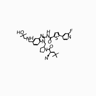 CC(C)(C)C=C(C#N)C(=O)N1CCCC1Cn1c(NC(=O)c2ccc(-c3ccnc(F)c3)s2)nc2cc(CNCC(C)(C)O)ccc21